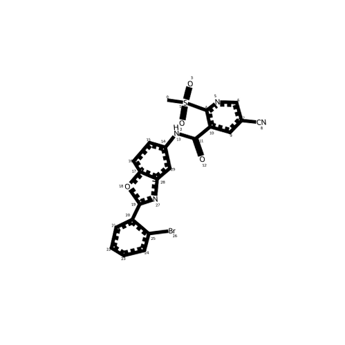 CS(=O)(=O)c1ncc(C#N)cc1C(=O)Nc1ccc2oc(-c3ccccc3Br)nc2c1